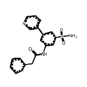 NS(=O)(=O)c1cc(NC(=O)Cc2ccccc2)cc(-c2cccnc2)c1